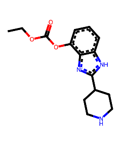 CCOC(=O)Oc1cccc2[nH]c(C3CCNCC3)nc12